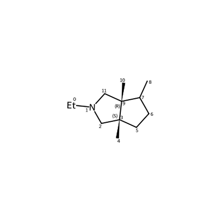 CCN1C[C@@]2(C)CCC(C)[C@@]2(C)C1